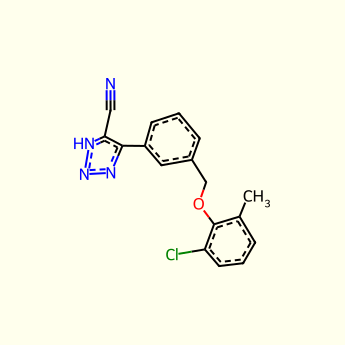 Cc1cccc(Cl)c1OCc1cccc(-c2nn[nH]c2C#N)c1